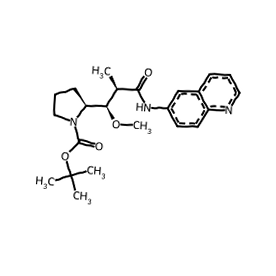 CO[C@H]([C@@H](C)C(=O)Nc1ccc2ncccc2c1)[C@@H]1CCCN1C(=O)OC(C)(C)C